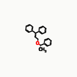 C[C@H](OCC=C(c1ccccc1)c1ccccc1)c1ccccc1